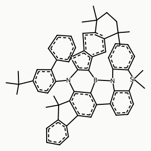 CC(C)(C)c1ccc(N2c3sc4cc5c(cc4c3B3c4c(cc6c(c42)C(C)(C)c2ccccc2-6)-c2cccc4c2N3c2ccccc2[Si]4(C)C)C(C)(C)CCC5(C)C)c(-c2ccccc2)c1